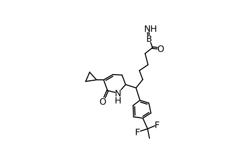 CC(F)(F)c1ccc(C(CCCCC(=O)B=N)C2CC=C(C3CC3)C(=O)N2)cc1